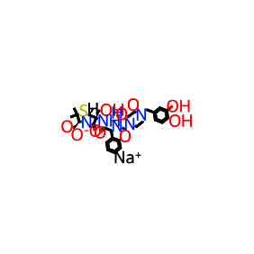 CC1(C)S[C@H]2N(C(=O)[C@@]2(CO)NC(=O)C(NC(=O)N2CCN(Cc3ccc(O)c(O)c3)C(=O)C2=O)c2ccccc2)[C@H]1C(=O)[O-].[Na+]